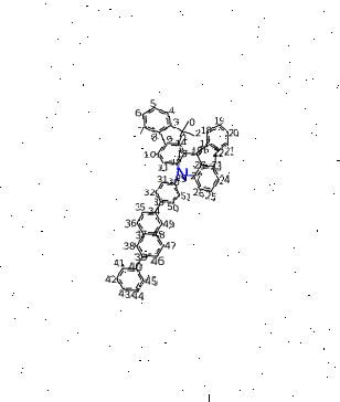 CC1(C)c2ccccc2-c2ccc3c(c21)C1(C)c2ccccc2-c2cccc(c21)N3c1ccc(-c2ccc3cc(-c4ccccc4)ccc3c2)cc1